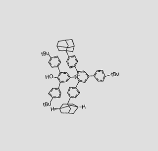 CC(C)(C)c1ccc(-c2cc(-c3ccc(C45CC6CC(CC(C6)C4)C5)cc3)[n+](-c3cc(-c4ccc(C(C)(C)C)cc4)c(O)c(-c4ccc(C(C)(C)C)cc4)c3)c(-c3ccc(C45CC6C[C@H](C4)C[C@H](C6)C5)cc3)c2)cc1